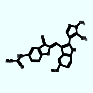 CNC(=O)Nc1ccc2c(c1)C(=O)/C(=C/c1c(-c3cnn(C)c3C)[nH]c3ccc(OC)cc13)O2